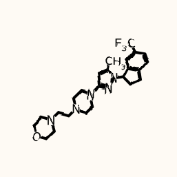 Cc1cc(N2CCN(CCN3CCOCC3)CC2)nn1C1CCc2ccc(C(F)(F)F)cc21